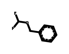 FC(F)O[CH]c1ccccc1